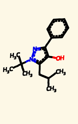 CC(C)Cc1c(O)c(-c2ccccc2)nn1C(C)(C)C